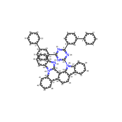 c1ccc(-c2cccc(-c3nc(-c4cccc(-c5ccccc5)c4)nc(-n4c5ccccc5c5ccc6c7ccccc7n7c8ccccc8nc7c6c54)n3)c2)cc1